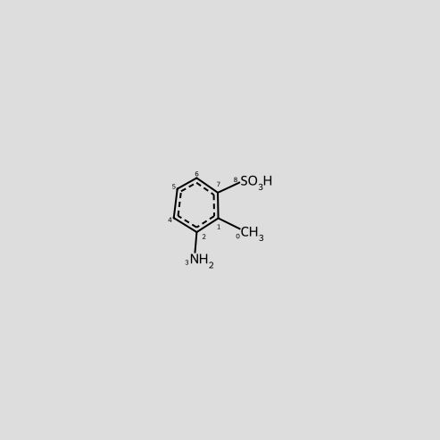 Cc1c(N)cccc1S(=O)(=O)O